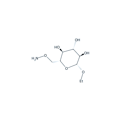 CCO[C@@H]1O[C@H](CON)[C@@H](O)[C@H](O)[C@H]1O